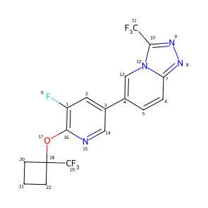 Fc1cc(-c2ccc3nnc(C(F)(F)F)n3c2)cnc1OC1(C(F)(F)F)CCC1